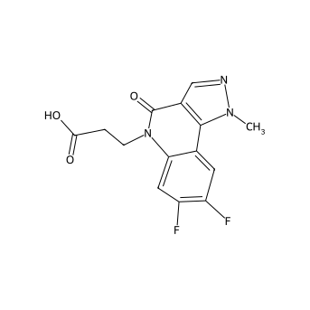 Cn1ncc2c(=O)n(CCC(=O)O)c3cc(F)c(F)cc3c21